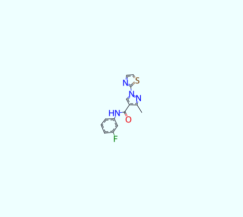 Cc1nn(-c2nccs2)cc1C(=O)Nc1cccc(F)c1